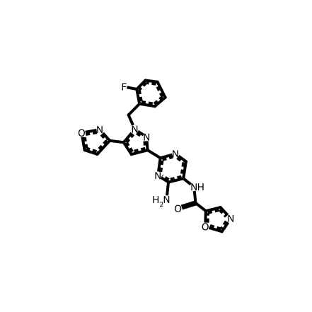 Nc1nc(-c2cc(-c3ccon3)n(Cc3ccccc3F)n2)ncc1NC(=O)c1cnco1